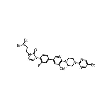 CCc1cnc(N2CCN(c3ncc(-c4ccc(-n5cnn(CCN(CC)CC)c5=O)c(F)c4)cc3C#N)[C@@H](C)C2)nc1